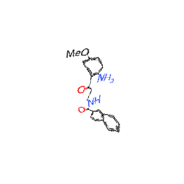 COc1ccc(N)c(C(=O)CCNC(=O)c2ccc3ccccc3c2)c1